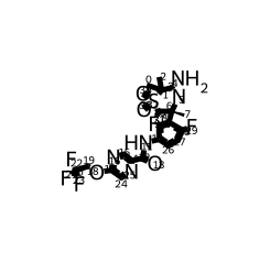 CC1(C)C(N)=N[C@](C)(c2cc(NC(=O)c3cnc(OCC(F)(F)F)cn3)ccc2F)C(F)S1(=O)=O